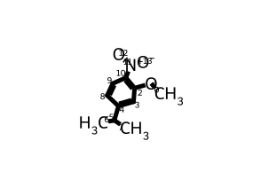 COc1cc(C(C)C)ccc1[N+](=O)[O-]